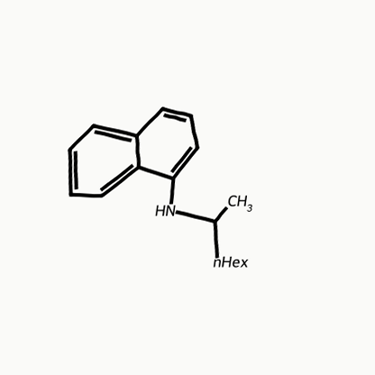 CCCCCCC(C)Nc1cccc2ccccc12